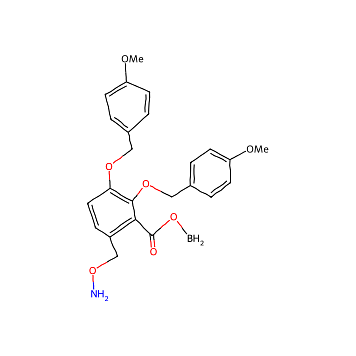 BOC(=O)c1c(CON)ccc(OCc2ccc(OC)cc2)c1OCc1ccc(OC)cc1